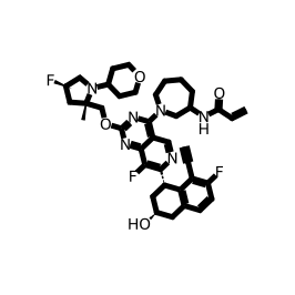 C#Cc1c(F)ccc2c1[C@@H](c1ncc3c(N4CCCCC(NC(=O)C=C)C4)nc(OC[C@]4(C)C[C@@H](F)CN4C4CCOCC4)nc3c1F)C[C@@H](O)C2